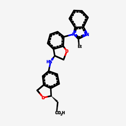 CCc1nc2ccccc2n1-c1cccc2c1OC[C@H]2Nc1ccc2c(c1)CO[C@H]2CC(=O)O